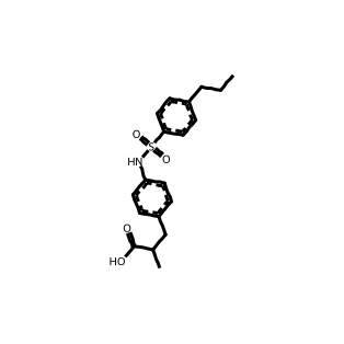 CCCc1ccc(S(=O)(=O)Nc2ccc(CC(C)C(=O)O)cc2)cc1